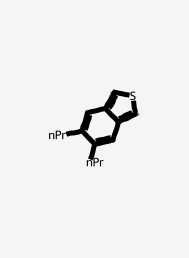 CCCc1cc2[c]s[c]c2cc1CCC